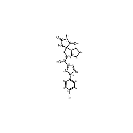 O=C1NC(=O)C(CNC(=O)c2cnn(-c3ccc(F)cc3)n2)(C2CCCC2)N1